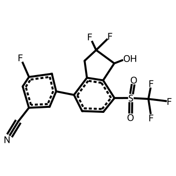 N#Cc1cc(F)cc(-c2ccc(S(=O)(=O)C(F)(F)F)c3c2CC(F)(F)C3O)c1